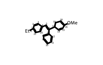 CCc1ccc(/C=C(\c2ccccc2)C2C=CC(OC)=CC2)cc1